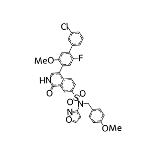 COc1ccc(CN(c2ccon2)S(=O)(=O)c2ccc3c(-c4cc(F)c(-c5cccc(Cl)c5)cc4OC)c[nH]c(=O)c3c2)cc1